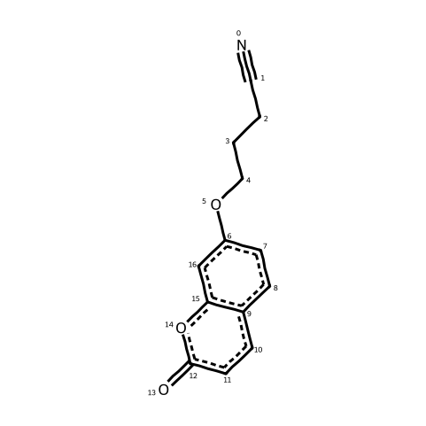 N#CCCCOc1ccc2ccc(=O)oc2c1